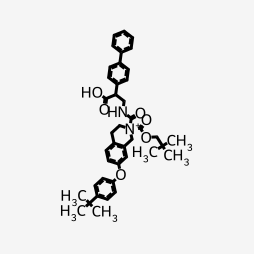 CC(C)(C)COC(=O)[N+]1(C(=O)NCC(C(=O)O)c2ccc(-c3ccccc3)cc2)CCc2ccc(Oc3ccc(C(C)(C)C)cc3)cc2C1